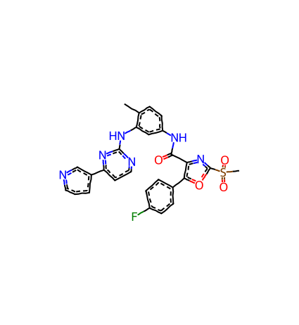 Cc1ccc(NC(=O)c2nc(S(C)(=O)=O)oc2-c2ccc(F)cc2)cc1Nc1nccc(-c2cccnc2)n1